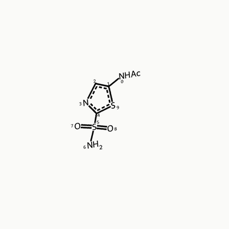 CC(=O)Nc1cnc(S(N)(=O)=O)s1